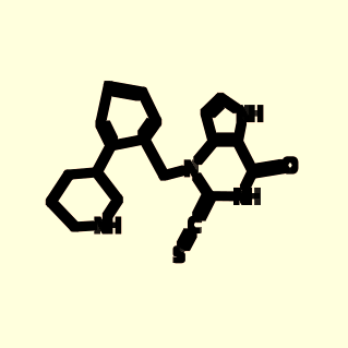 O=C1NC(=C=S)N(Cc2ccccc2C2CCCNC2)c2cc[nH]c21